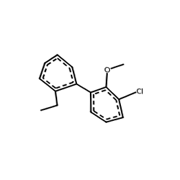 CCc1ccccc1-c1cccc(Cl)c1OC